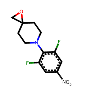 O=[N+]([O-])c1cc(F)c(N2CCC3(CC2)CO3)c(F)c1